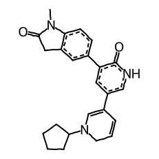 CN1C(=O)Cc2cc(-c3cc(C4=CN(C5CCCC5)CC=C4)c[nH]c3=O)ccc21